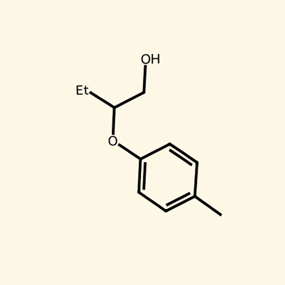 CCC(CO)Oc1ccc(C)cc1